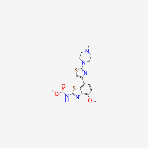 COC(=O)Nc1nc2c(OC)ccc(-c3csc(N4CCN(C)CC4)n3)c2s1